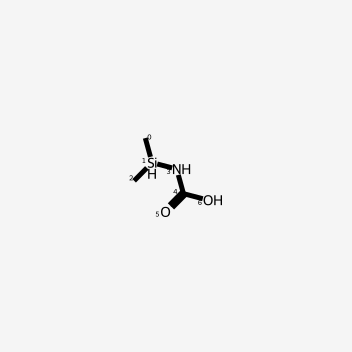 C[SiH](C)NC(=O)O